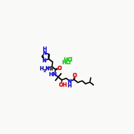 CC(C)CCCC(=O)NCC(O)C(C)(C)NC(=O)[C@@H](N)Cc1c[nH]cn1.Cl.Cl